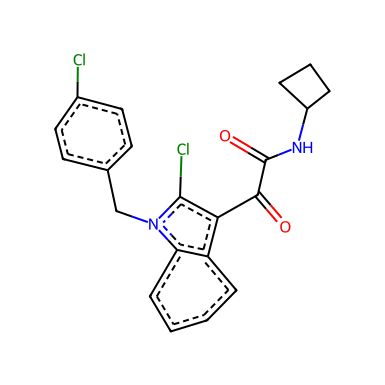 O=C(NC1CCC1)C(=O)c1c(Cl)n(Cc2ccc(Cl)cc2)c2ccccc12